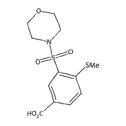 CSc1ccc(C(=O)O)cc1S(=O)(=O)N1CCOCC1